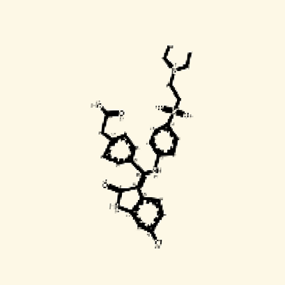 CCN(CC)CCS(=O)(=O)c1ccc(NC(=C2C(=O)Nc3cc(Cl)ccc32)c2ccc(CC(=O)O)cc2)cc1